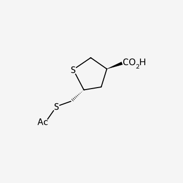 CC(=O)SC[C@H]1C[C@H](C(=O)O)CS1